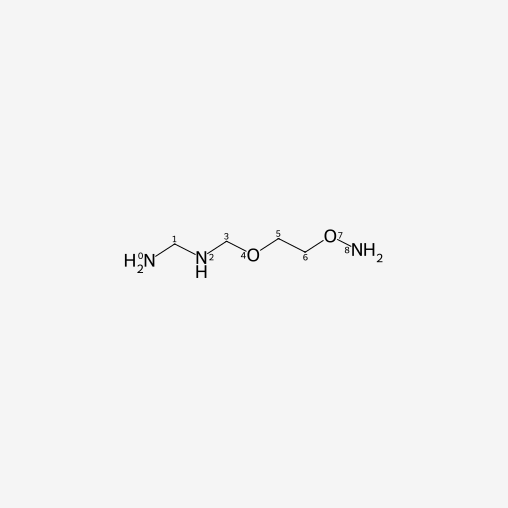 NCNCOCCON